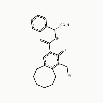 CC(C)Cn1c2c(cc(C(=O)N[C@@H](C(=O)O)c3ccccc3)c1=O)CCCCCC2